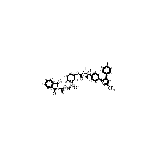 Cc1ccc(-c2cc(C(F)(F)F)nn2-c2ccc(S(=O)(=O)NC(=O)OC3CCCN(/[N+]([O-])=N\OC(C)N4C(=O)c5ccccc5C4=O)C3)cc2)cc1